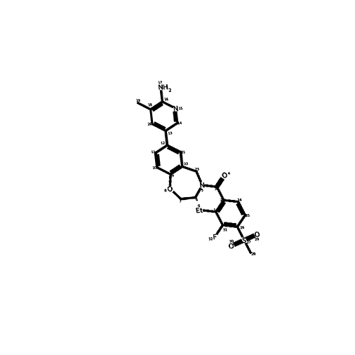 CCc1c(C(=O)N2CCOc3ccc(-c4cnc(N)c(C)c4)cc3C2)ccc(S(C)(=O)=O)c1F